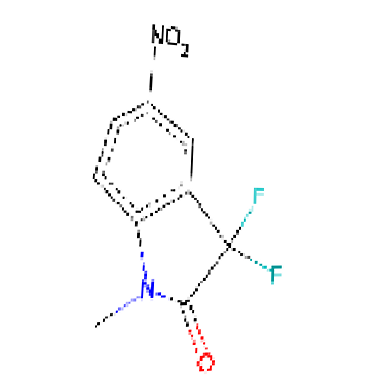 CN1C(=O)C(F)(F)c2cc([N+](=O)[O-])ccc21